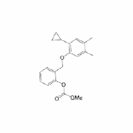 COC(=O)Oc1ccccc1COc1cc(C)c(C)cc1C1CC1